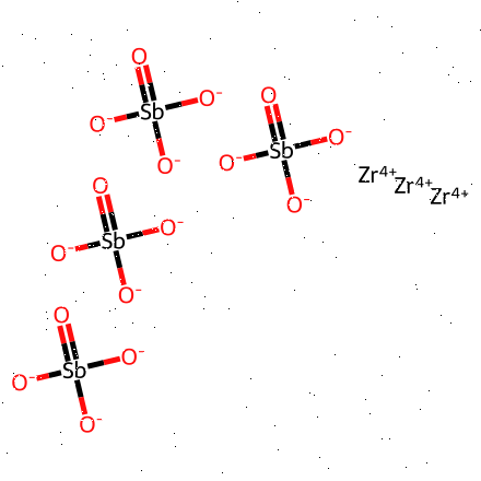 [O]=[Sb]([O-])([O-])[O-].[O]=[Sb]([O-])([O-])[O-].[O]=[Sb]([O-])([O-])[O-].[O]=[Sb]([O-])([O-])[O-].[Zr+4].[Zr+4].[Zr+4]